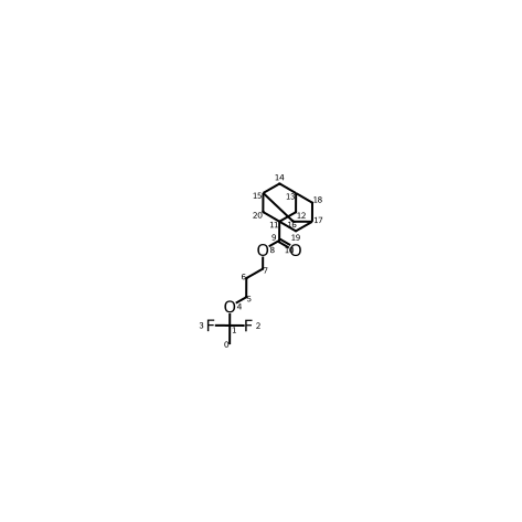 CC(F)(F)OCCCOC(=O)C12CC3CC(CC(C3)C1)C2